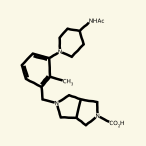 CC(=O)NC1CCN(c2cccc(CN3CC4CN(C(=O)O)CC4C3)c2C)CC1